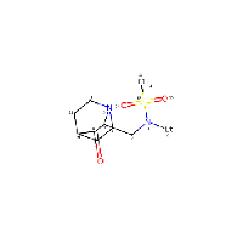 CCN(CC1C(=O)C2CCN1CC2)S(C)(=O)=O